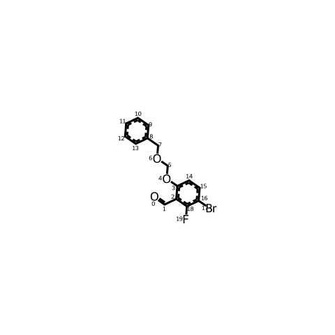 O=Cc1c(OCOCc2ccccc2)ccc(Br)c1F